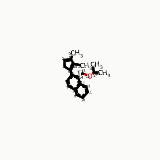 CC1=CCC(c2ccc3ccccc3[c]2[Ti][O]C(C)C)=C1C